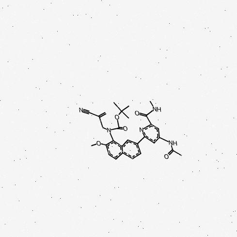 C=C(C#N)CN(C(=O)OC(C)(C)C)c1c(OC)ccc2ccc(-c3cc(NC(C)=O)cc(C(=O)NC)n3)cc12